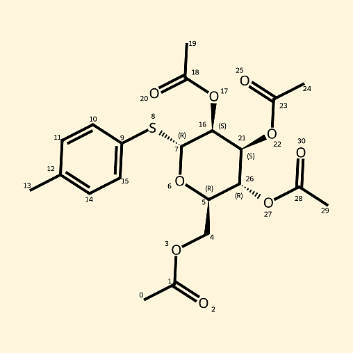 CC(=O)OC[C@H]1O[C@H](Sc2ccc(C)cc2)[C@@H](OC(C)=O)[C@@H](OC(C)=O)[C@@H]1OC(C)=O